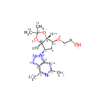 Cc1nc(C)c2nnn([C@@H]3C[C@H](OCCO)[C@H]4OC(C)(C)O[C@H]43)c2n1